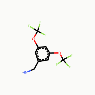 [NH]Cc1cc(OC(F)(F)F)cc(OC(F)(F)F)c1